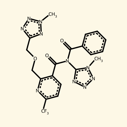 Cn1nnc(COCc2nc(C(F)(F)F)ccc2C(=O)N(C(=O)c2ccccc2)c2nnnn2C)n1